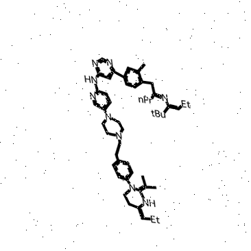 CC/C=C1/CCN(c2ccc(CCN3CCN(c4ccc(Nc5cc(-c6ccc(C/C(CCC)=N/C(=C\CC)C(C)(C)C)c(C)c6)ncn5)nc4)CC3)cc2)C(=C(C)C)N1